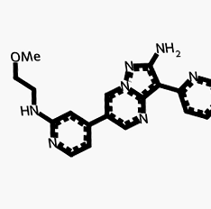 COCCNc1cc(-c2cnc3c(-c4ccccn4)c(N)nn3c2)ccn1